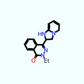 CCn1nc(C2CN3CC=CC=C3N2)c2ccccc2c1=O